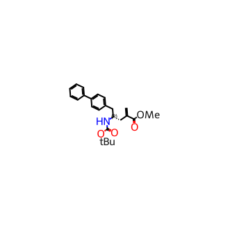 C=C(C[C@@H](Cc1ccc(-c2ccccc2)cc1)NC(=O)OC(C)(C)C)C(=O)OC